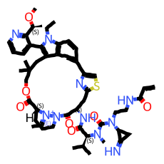 C=CC(=O)NCCN(C(=O)N(C)[C@H](C(=O)N[C@H]1Cc2nc(cs2)-c2ccc3c(c2)c(c(-c2cccnc2[C@H](C)OC)n3CC)CC(C)(C)COC(=O)[C@@H]2CCCN(C1=O)/[N+]2=C/C)C(C)C)C1CC1=N